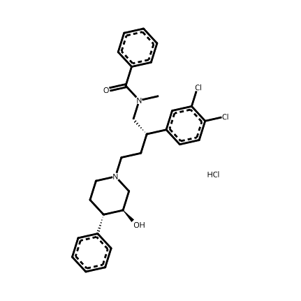 CN(C[C@@H](CCN1CC[C@@H](c2ccccc2)[C@H](O)C1)c1ccc(Cl)c(Cl)c1)C(=O)c1ccccc1.Cl